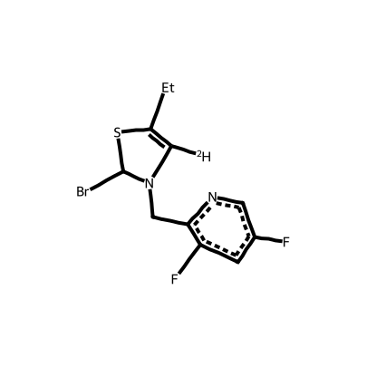 [2H]C1=C(CC)SC(Br)N1Cc1ncc(F)cc1F